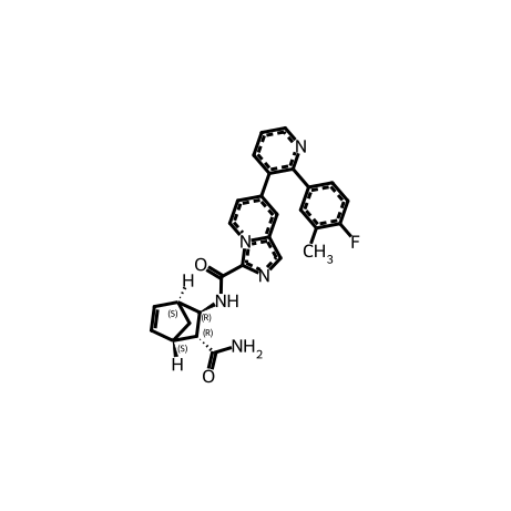 Cc1cc(-c2ncccc2-c2ccn3c(C(=O)N[C@H]4[C@H](C(N)=O)[C@@H]5C=C[C@@H]4C5)ncc3c2)ccc1F